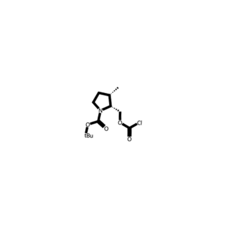 C[C@H]1CCN(C(=O)OC(C)(C)C)[C@H]1COC(=O)Cl